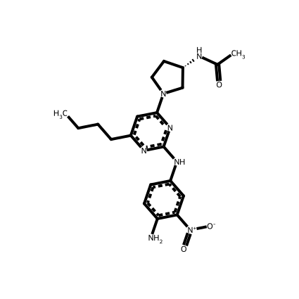 CCCCc1cc(N2CC[C@H](NC(C)=O)C2)nc(Nc2ccc(N)c([N+](=O)[O-])c2)n1